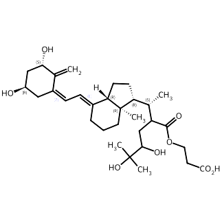 C=C1/C(=C\C=C2/CCC[C@]3(C)[C@@H]([C@H](C)C(CC(O)C(C)(C)O)C(=O)OCCC(=O)O)CC[C@@H]23)C[C@@H](O)C[C@@H]1O